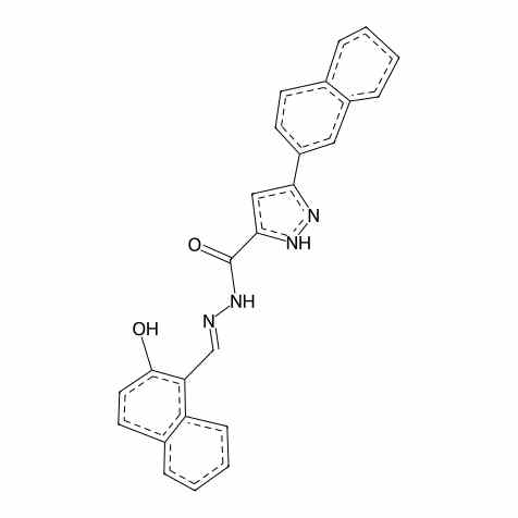 O=C(N/N=C/c1c(O)ccc2ccccc12)c1cc(-c2ccc3ccccc3c2)n[nH]1